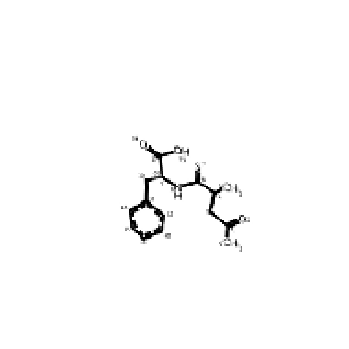 CC(=O)CC(C)C(=S)N[C@@H](Cc1ccccc1)C(=O)O